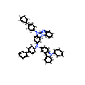 c1ccc(-c2ccc(N(c3ccc4c(c3)c3ccccc3n4-c3ccccc3)c3ccc4c(c3)n3c5ccccc5nc3n4-c3ccc(-c4ccccc4)cc3)cc2)cc1